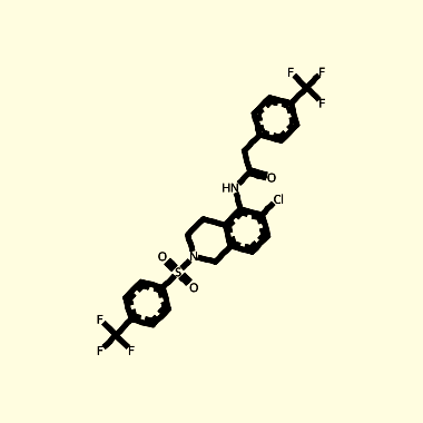 O=C(Cc1ccc(C(F)(F)F)cc1)Nc1c(Cl)ccc2c1CCN(S(=O)(=O)c1ccc(C(F)(F)F)cc1)C2